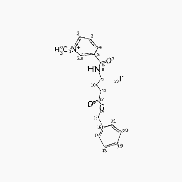 C[n+]1cccc(C(=O)NCCCC(=O)OCc2ccccc2)c1.[I-]